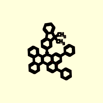 CC1(C)c2ccccc2-c2ccc(N(c3cccc(-c4ccccc4)c3)c3c(-c4ccc(-c5ccccc5)cc4)c4ccccc4c4ccccc34)cc21